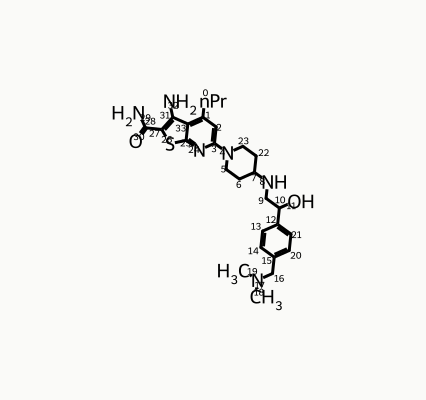 CCCc1cc(N2CCC(NCC(O)c3ccc(CN(C)C)cc3)CC2)nc2sc(C(N)=O)c(N)c12